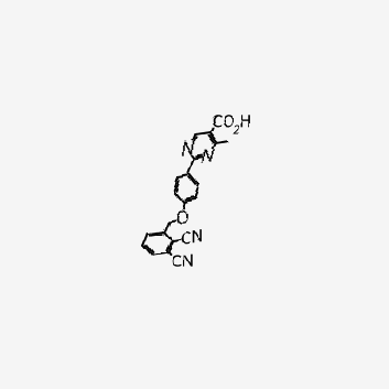 Cc1nc(-c2ccc(OCc3cccc(C#N)c3C#N)cc2)ncc1C(=O)O